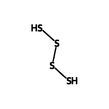 SSSS